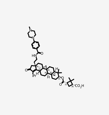 CC(C)C1=C2[C@H]3CC[C@@H]4[C@@]5(C)CC[C@H](OC(=O)[C@H]6C[C@@H](C(=O)O)C6(C)C)C(C)(C)[C@@H]5CC[C@@]4(C)[C@]3(C)CC[C@@]2(CCNC(=O)c2ccc(N3CCN(C)CC3)cc2)CC1=O